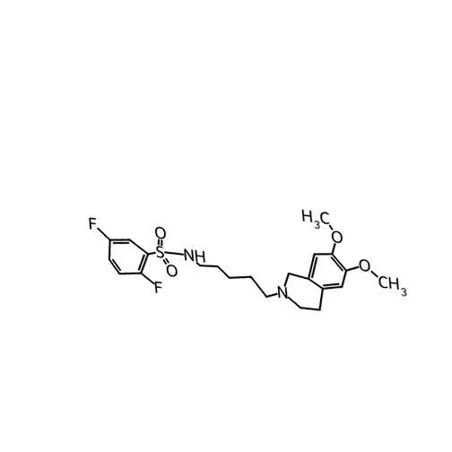 COc1cc2c(cc1OC)CN(CCCCCNS(=O)(=O)c1cc(F)ccc1F)CC2